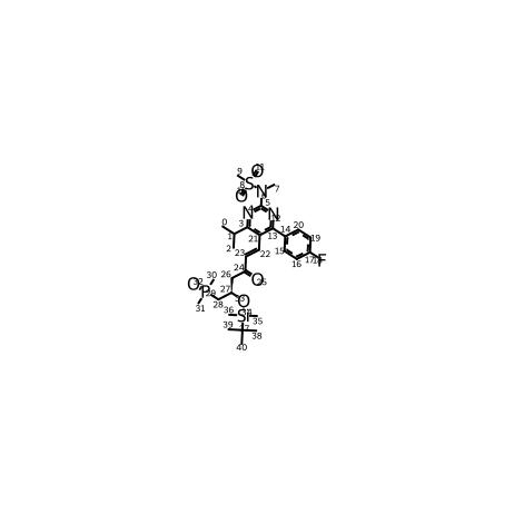 CC(C)c1nc(N(C)S(C)(=O)=O)nc(-c2ccc(F)cc2)c1/C=C/C(=O)C[C@H](CP(C)(C)=O)O[Si](C)(C)C(C)(C)C